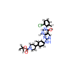 Cc1cc(Nc2ncc3c(n2)N(C)CN(c2c(C)cccc2Cl)C3=O)ccc1C1CCN(C(=O)OC(C)(C)C)CC1